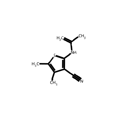 C=C(C)Nc1sc(C)c(C)c1C#N